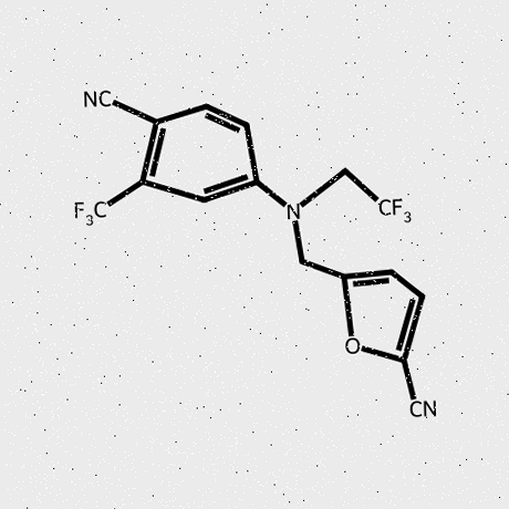 N#Cc1ccc(CN(CC(F)(F)F)c2ccc(C#N)c(C(F)(F)F)c2)o1